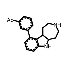 CC(=O)c1cccc(-c2cccc3c2C2CCNCCC2N3)c1